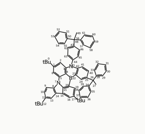 CC(C)(C)c1cc2c3c(c1)-n1c4ccc(C(C)(C)C)cc4c4cc(C(C)(C)C)cc(c41)B3c1cc(C(C)(c3ccccc3)c3ccccc3)ccc1N2c1ccc(C(C)(c2ccccc2)c2ccccc2)cc1